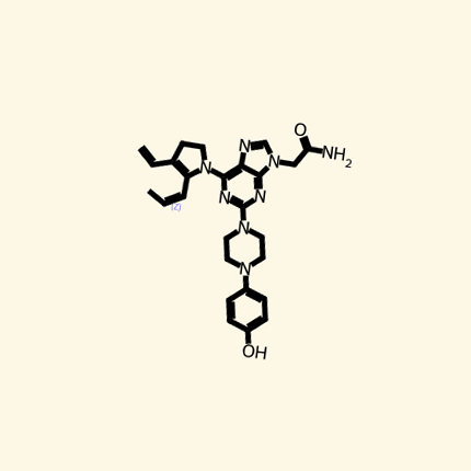 C=CC1=C(/C=C\C)N(c2nc(N3CCN(c4ccc(O)cc4)CC3)nc3c2ncn3CC(N)=O)CC1